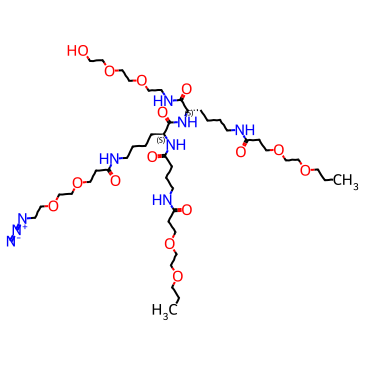 CCCOCCOCCC(=O)NCCCC[C@H](NC(=O)[C@H](CCCCNC(=O)CCOCCOCCN=[N+]=[N-])NC(=O)CCCNC(=O)CCOCCOCCC)C(=O)NCCOCCOCCO